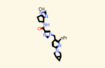 CCCc1nc(N2CC3CC3C2)ccc1Cn1cnc(C(=O)N[C@@H]2CCc3c2ncn3C)c1